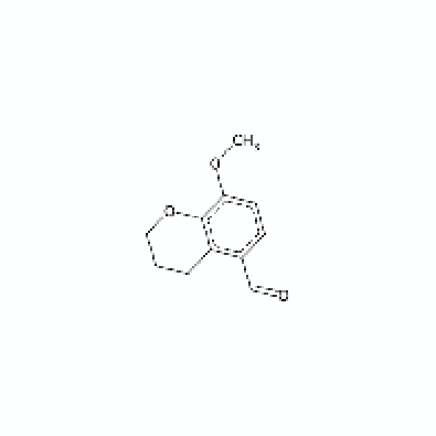 COc1ccc(C=O)c2c1OCCC2